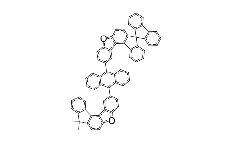 CC1(C)c2ccccc2-c2c1ccc1oc3ccc(-c4c5ccccc5c(-c5ccc6oc7ccc8c(c7c6c5)-c5ccccc5C85c6ccccc6-c6ccccc65)c5ccccc45)cc3c21